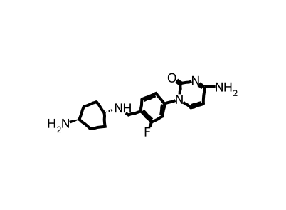 Nc1ccn(-c2ccc(CN[C@H]3CC[C@H](N)CC3)c(F)c2)c(=O)n1